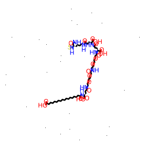 CSN[C@@H](CCCCNC(=O)CC[C@H](NC(=O)CC[C@H](NC(=O)COCCOCCNC(=O)COCCOCCNC(=O)CC[C@H](NC(=O)CCCCCCCCCCCCCCCCC(=O)O)C(=O)O)C(=O)O)C(=O)O)C(N)=O